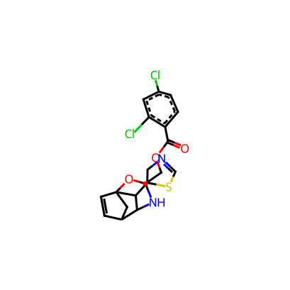 O=C(OCC1NC2C3C=CC(C3)(O1)C2C1CN=CS1)c1ccc(Cl)cc1Cl